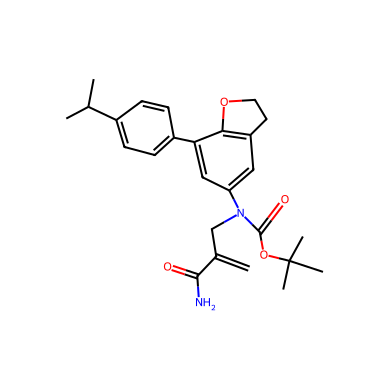 C=C(CN(C(=O)OC(C)(C)C)c1cc2c(c(-c3ccc(C(C)C)cc3)c1)OCC2)C(N)=O